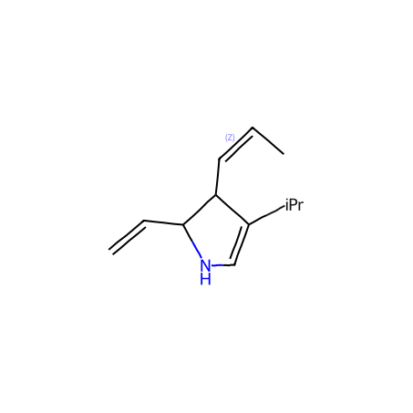 C=CC1NC=C(C(C)C)C1/C=C\C